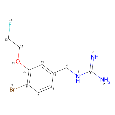 N=C(N)NCc1ccc(Br)c(OCCF)c1